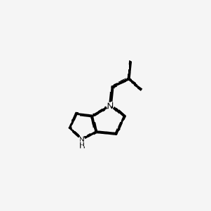 CC(C)CN1CCC2NCCC21